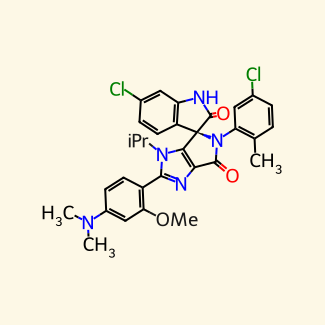 COc1cc(N(C)C)ccc1-c1nc2c(n1C(C)C)[C@]1(C(=O)Nc3cc(Cl)ccc31)N(c1cc(Cl)ccc1C)C2=O